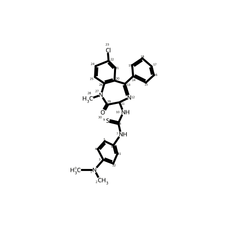 CN(C)c1ccc(NC(=S)NC2N=C(c3ccccc3)c3cc(Cl)ccc3N(C)C2=O)cc1